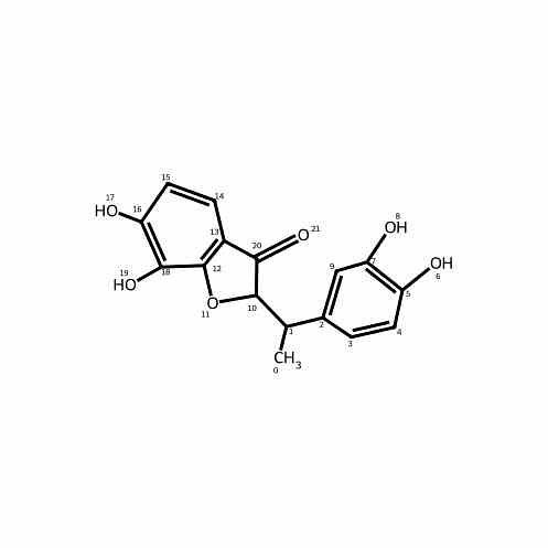 CC(c1ccc(O)c(O)c1)C1Oc2c(ccc(O)c2O)C1=O